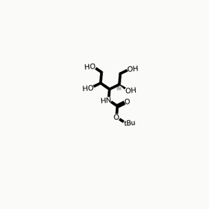 CC(C)(C)OC(=O)NC(C(O)CO)[C@H](O)CO